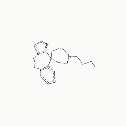 CCCCN1CCC2(CC1)c1ccccc1CCn1ccnc12